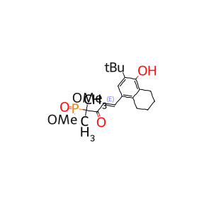 COP(=O)(OC)C(C)(C)C(=O)/C=C/c1cc(C(C)(C)C)c(O)c2c1CCCC2